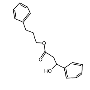 O=C(CC(O)c1ccccc1)OCCCc1ccccc1